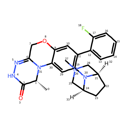 C[C@@H]1C(=O)NN=C2COc3cc(-c4ccccc4F)c(N4[C@@H]5CC[C@H]4CN(C)C5)cc3N21